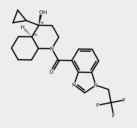 O=C(c1cccc2c1ncn2CC(F)(F)F)N1CC[C@@](O)(C2CC2)[C@@H]2CCCCC21